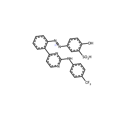 O=S(=O)(O)c1cc(/N=N/c2ccccc2-c2ccnc(Nc3ccc(C(F)(F)F)cc3)n2)ccc1O